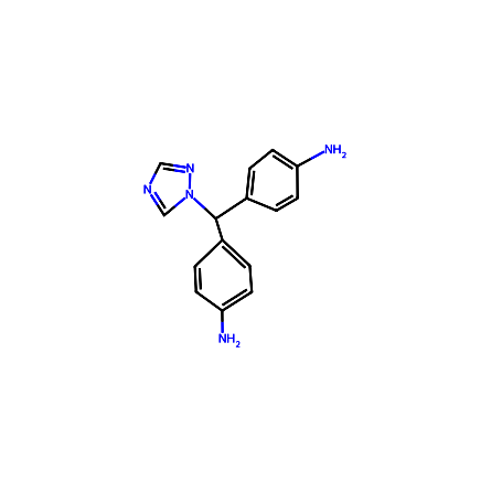 Nc1ccc(C(c2ccc(N)cc2)n2cncn2)cc1